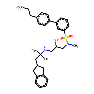 CN(CC(O)CNC(C)(C)CC1Cc2ccccc2C1)S(=O)(=O)c1cccc(-c2ccc(CCC(=O)O)cc2)c1